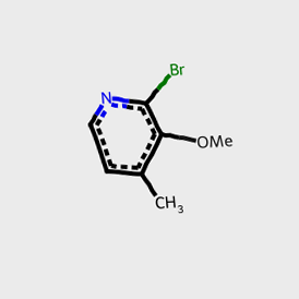 COc1c(C)ccnc1Br